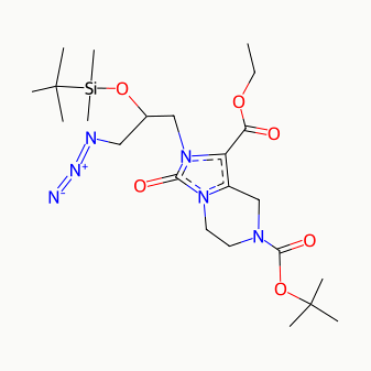 CCOC(=O)c1c2n(c(=O)n1CC(CN=[N+]=[N-])O[Si](C)(C)C(C)(C)C)CCN(C(=O)OC(C)(C)C)C2